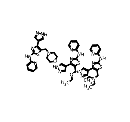 CCN(CC)Cc1sc(Nc2ccccn2)nc1-c1cn[nH]c1.CCOCc1sc(Nc2ccccn2)nc1-c1cn[nH]c1.c1ccc(Nc2nc(-c3cn[nH]c3)c(CN3CCOCC3)s2)nc1